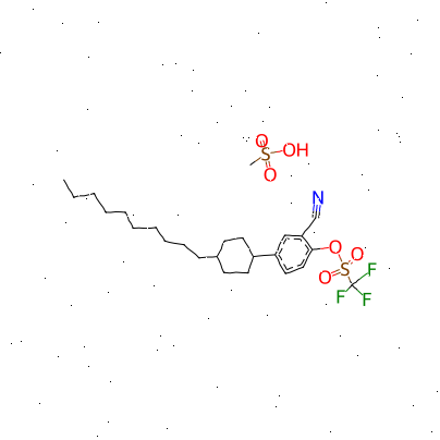 CCCCCCCCCCC1CCC(c2ccc(OS(=O)(=O)C(F)(F)F)c(C#N)c2)CC1.CS(=O)(=O)O